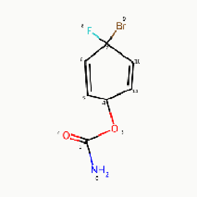 NC(=O)OC1C=CC(F)(Br)C=C1